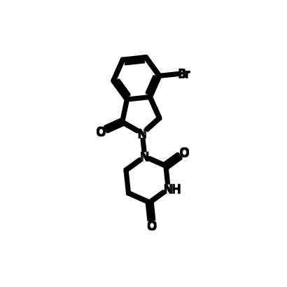 O=C1CCN(N2Cc3c(Br)cccc3C2=O)C(=O)N1